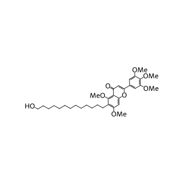 COc1cc2oc(-c3cc(OC)c(OC)c(OC)c3)cc(=O)c2c(OC)c1CCCCCCCCCCCCCO